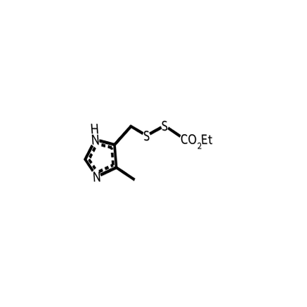 [CH2]COC(=O)SSCc1[nH]cnc1C